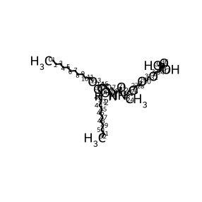 CCCCCCCCCCCCOC[C@H](CSC[C@H](N)C(=O)N[C@@H](C)COCCOCCOCCP(=O)(O)O)OC(=O)CCCCCCCCCCC